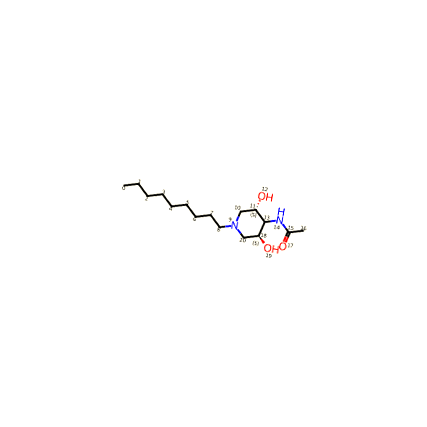 CCCCCCCCCN1C[C@H](O)C(NC(C)=O)[C@@H](O)C1